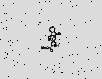 COC(=O)[C@@H]1C[C@@](O)(CN2C(=O)c3ccccc3C2=O)CN1